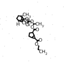 C=CCOC(=O)C1C2CCC(C(=O)OC(C)OC(=O)O[C@H]3C[C@H]4CC[C@]3(C)C4(C)C)C21